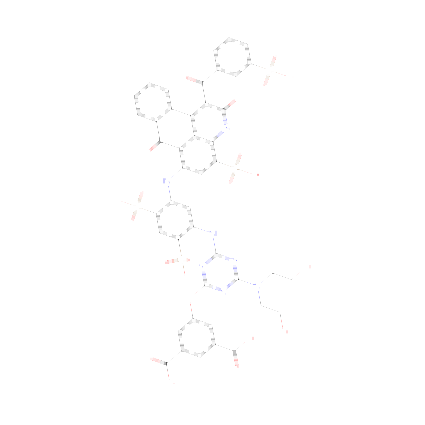 O=C(O)c1cc(Oc2nc(Nc3cc(Nc4cc(S(=O)(=O)O)c5[nH]c(=O)c(C(=O)c6cccc(S(=O)(=O)O)c6)c6c5c4C(=O)c4ccccc4-6)c(S(=O)(=O)O)cc3S(=O)(=O)O)nc(N(CCO)CCO)n2)cc(C(=O)O)c1